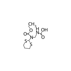 CCOC(=O)N(CNC(=O)O)C1SCCCS1